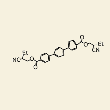 CC[C@H](C#N)COC(=O)c1ccc(-c2ccc(-c3ccc(C(=O)OC[C@@H](C#N)CC)cc3)cc2)cc1